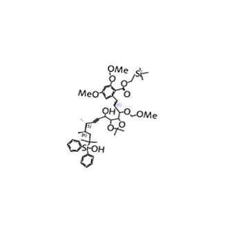 COCOc1cc(OC)cc(/C=C/C(OCOC)C2OC(C)(C)OC2C(O)C#C[C@@H](C)[C@H](C)CC(C)(C)[Si](O)(c2ccccc2)c2ccccc2)c1C(=O)OCC[Si](C)(C)C